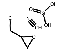 C#N.ClCC1CO1.O=[Si](O)O